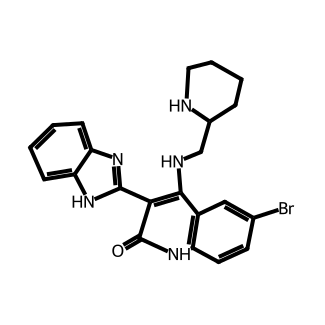 O=c1[nH]c2ccc(Br)cc2c(NCC2CCCCN2)c1-c1nc2ccccc2[nH]1